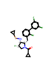 O=C(C1CC1)N1C[C@H](F)[C@H](NSC2CC2)[C@@H]1Cc1cccc(-c2cc(F)cc(F)c2)c1F